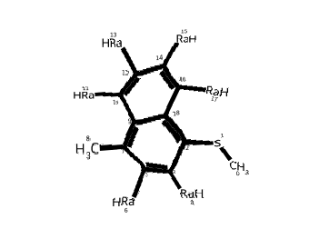 CSc1[c]([RaH])[c]([RaH])c(C)c2[c]([RaH])[c]([RaH])[c]([RaH])[c]([RaH])c12